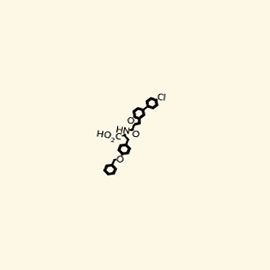 O=C(N[C@@H](Cc1ccc(OCc2ccccc2)cc1)C(=O)O)c1cc2cc(-c3ccc(Cl)cc3)ccc2o1